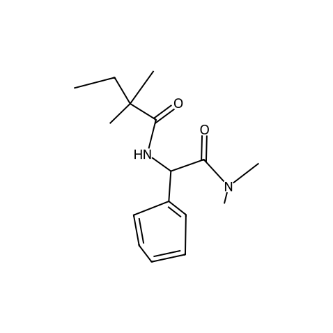 CCC(C)(C)C(=O)NC(C(=O)N(C)C)c1ccccc1